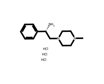 CN1CCN(C[C@@H](N)c2ccccc2)CC1.Cl.Cl.Cl